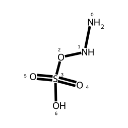 NNOS(=O)(=O)O